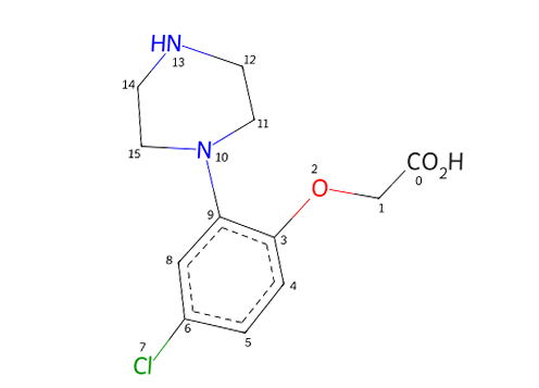 O=C(O)COc1ccc(Cl)cc1N1CCNCC1